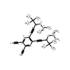 C[SiH](C)OC(C#Cc1nc(C#N)c(C#N)nc1C#CC(O[SiH](C)C)C(C)(C)C)C(C)(C)C